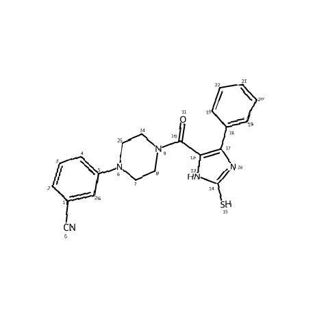 N#Cc1cccc(N2CCN(C(=O)c3[nH]c(S)nc3-c3ccccc3)CC2)c1